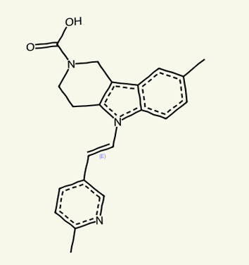 Cc1ccc2c(c1)c1c(n2/C=C/c2ccc(C)nc2)CCN(C(=O)O)C1